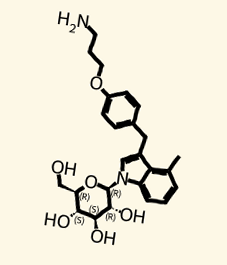 Cc1cccc2c1c(Cc1ccc(OCCCN)cc1)cn2[C@@H]1O[C@H](CO)[C@@H](O)[C@H](O)[C@H]1O